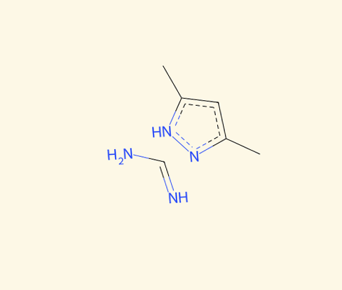 Cc1cc(C)[nH]n1.N=CN